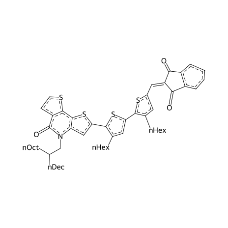 CCCCCCCCCCC(CCCCCCCC)Cn1c(=O)c2ccsc2c2sc(-c3sc(-c4sc(C=C5C(=O)c6ccccc6C5=O)cc4CCCCCC)cc3CCCCCC)cc21